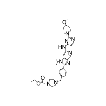 CCOC(=O)CN1CCN(Cc2ccc(-c3nc4cnc(Nc5ccnc(N6CCC(OC)CC6)n5)cc4n3C(C)C)cc2)CC1